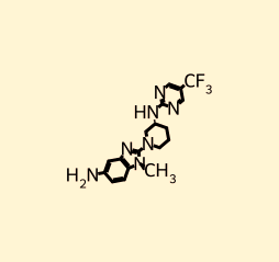 Cn1c(N2CCC[C@@H](Nc3ncc(C(F)(F)F)cn3)C2)nc2cc(N)ccc21